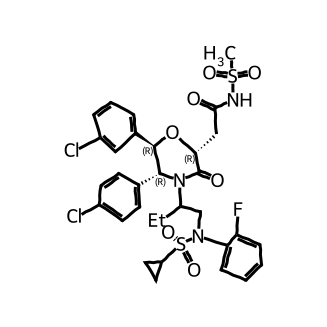 CCC(CN(c1ccccc1F)S(=O)(=O)C1CC1)N1C(=O)[C@@H](CC(=O)NS(C)(=O)=O)O[C@H](c2cccc(Cl)c2)[C@H]1c1ccc(Cl)cc1